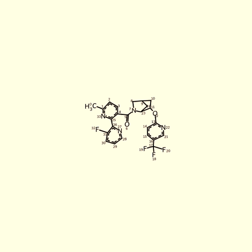 Cc1ccc(C(=O)N2CC3CC(Oc4ccc(C(F)(F)F)cn4)C2C3)c(-c2ncccc2F)n1